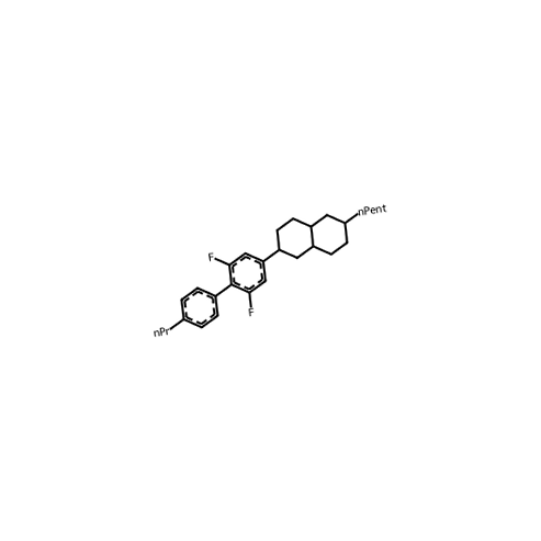 CCCCCC1CCC2CC(c3cc(F)c(-c4ccc(CCC)cc4)c(F)c3)CCC2C1